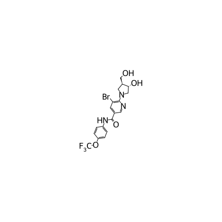 O=C(Nc1ccc(OC(F)(F)F)cc1)c1cnc(N2C[C@@H](CO)[C@H](O)C2)c(Br)c1